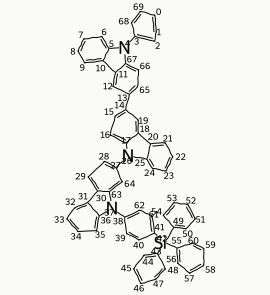 c1ccc(-n2c3ccccc3c3cc(-c4ccc5c(c4)c4ccccc4n5-c4ccc5c6ccccc6n(-c6ccc([Si](c7ccccc7)(c7ccccc7)c7ccccc7)cc6)c5c4)ccc32)cc1